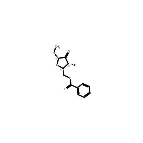 CO[C@@H]1O[C@H](COC(=O)c2ccccc2)[C@@H](F)C1=O